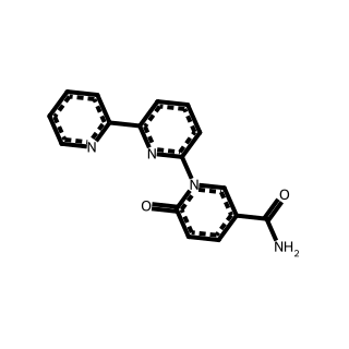 NC(=O)c1ccc(=O)n(-c2cccc(-c3ccccn3)n2)c1